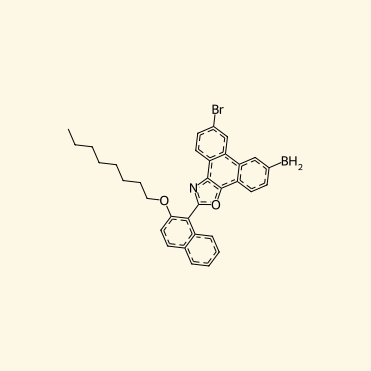 Bc1ccc2c(c1)c1cc(Br)ccc1c1nc(-c3c(OCCCCCCCC)ccc4ccccc34)oc21